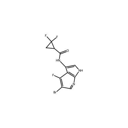 O=C(Nc1c[nH]c2ncc(Br)c(F)c12)C1CC1(F)F